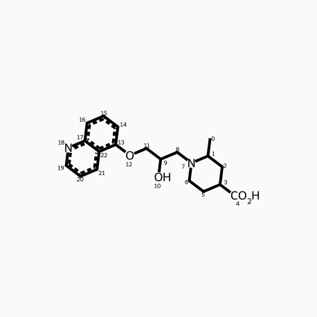 CC1CC(C(=O)O)CCN1CC(O)COc1cccc2ncccc12